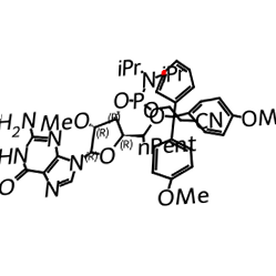 CCCCCC(OC(c1ccccc1)(c1ccc(OC)cc1)c1ccc(OC)cc1)[C@H]1O[C@@H](n2cnc3c(=O)[nH]c(N)nc32)[C@H](OC)[C@@H]1OP(OCCC#N)N(C(C)C)C(C)C